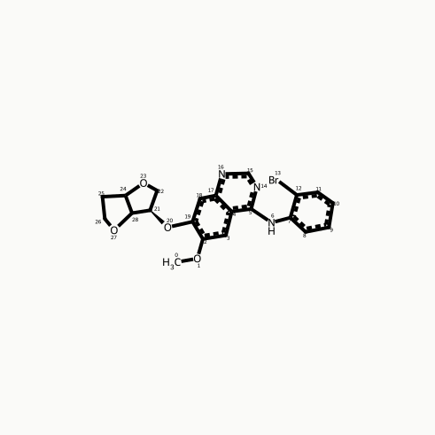 COc1cc2c(Nc3ccccc3Br)ncnc2cc1O[C@@H]1COC2CCOC21